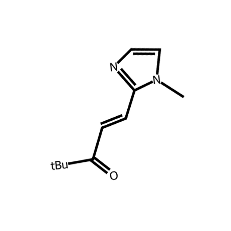 Cn1ccnc1/C=C/C(=O)C(C)(C)C